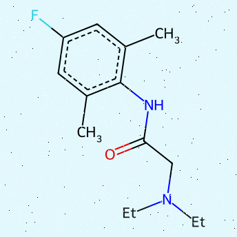 CCN(CC)CC(=O)Nc1c(C)cc(F)cc1C